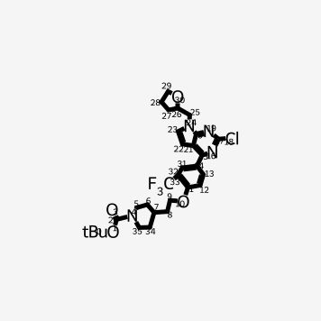 CC(C)(C)OC(=O)N1CCC(CCOc2ccc(-c3nc(Cl)nc4c3ccn4CC3CCCO3)cc2C(F)(F)F)CC1